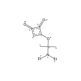 CCN(CC)C(C)(C)Oc1cc(=O)c1=O